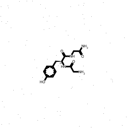 NCC(=O)N[C@@H](Cc1ccc(O)cc1)C(=O)NCC(N)=O